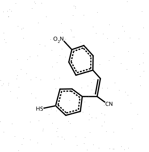 N#CC(=Cc1ccc([N+](=O)[O-])cc1)c1ccc(S)cc1